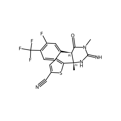 CN1C(=N)N[C@](C)(c2ccc(C#N)s2)[C@@H](c2ccc(C(F)(F)F)c(F)c2)C1=O